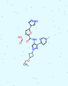 CCOC1CC(n2cc(NC(=O)c3ccc(-c4cn[nH]c4)o3)c(-c3ccc(F)cn3)n2)C1.O=CO